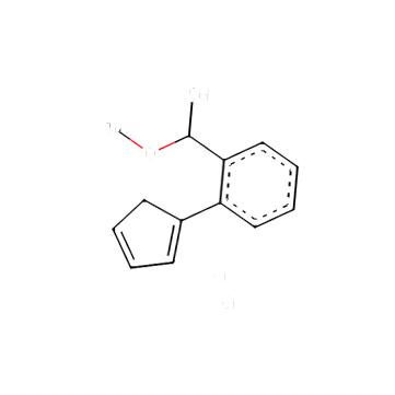 CC([O][Ti+2])c1ccccc1C1=CC=CC1.[Cl-].[Cl-]